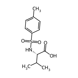 Cc1ccc(S(=O)(=O)N[C@H](C(=O)O)C(C)C)cc1